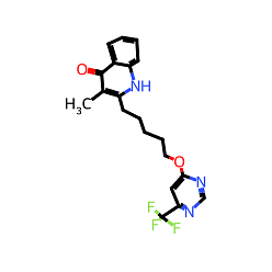 Cc1c(CCCCCOc2cc(C(F)(F)F)ncn2)[nH]c2ccccc2c1=O